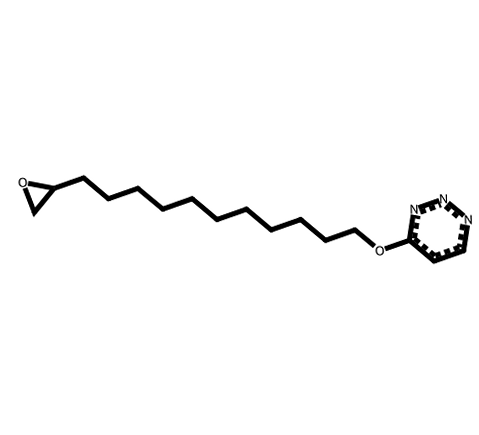 c1cc(OCCCCCCCCCCCC2CO2)nnn1